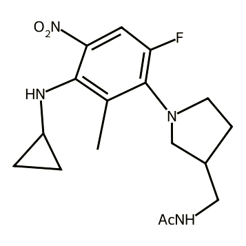 CC(=O)NCC1CCN(c2c(F)cc([N+](=O)[O-])c(NC3CC3)c2C)C1